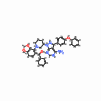 Nc1ncnc2c1c(-c1ccc(Oc3ccccc3)cc1)nn2[C@@H]1CCCN(c2c(C(=O)c3ccccc3)ccc3c2OCO3)C1